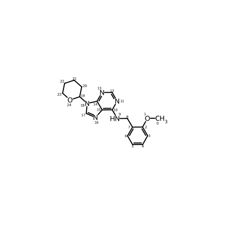 COc1ccccc1CNc1ncnc2c1ncn2C1CCCCO1